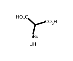 CCC(C)C(C(=O)O)C(=O)O.[LiH]